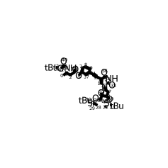 CC(CC(=O)Oc1cccc(C#Cc2cn(C3CC(O[Si](C)(C)C(C)(C)C)C(CO[Si](C)(C)C(C)(C)C)O3)c(=O)[nH]c2=O)c1)NC(=O)OC(C)(C)C